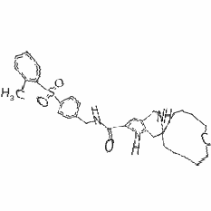 Cc1ccccc1S(=O)(=O)c1ccc(CNC(=O)c2cc3c([nH]2)CC2(CCCCCCCCC2)NC3)cc1